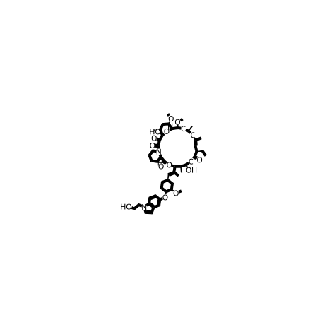 CC[C@@H]1/C=C(\C)C[C@H](C)C[C@H](OC)[C@H]2O[C@@](O)(C(=O)C(=O)N3CCCC[C@H]3C(=O)OC(/C(C)=C/[C@@H]3CC[C@@H](Oc4ccc5c(ccn5CCO)c4)[C@H](OC)C3)[C@H](C)[C@@H](O)CC1=O)[C@H](C)C[C@@H]2OC